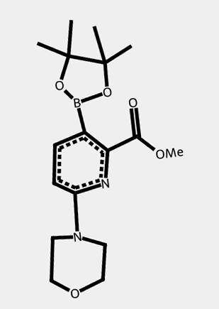 COC(=O)c1nc(N2CCOCC2)ccc1B1OC(C)(C)C(C)(C)O1